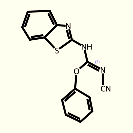 N#C/N=C(/Nc1nc2ccccc2s1)Oc1ccccc1